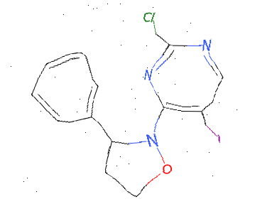 Clc1ncc(I)c(N2OCCC2c2ccccc2)n1